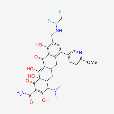 COc1ccc(-c2cc(CNC(F)CF)c(O)c3c2CC2CC4C(N(C)C)C(O)=C(C(N)=O)C(=O)C4(O)C(O)=C2C3=O)cn1